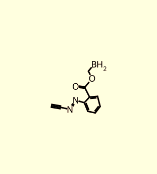 BCOC(=O)c1ccccc1N=NC#C